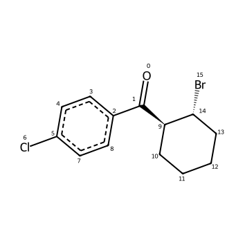 O=C(c1ccc(Cl)cc1)[C@@H]1CCCC[C@H]1Br